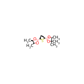 C=C1OB(c2ccc(B3OC(C)C(C)(C)O3)s2)OC1=C